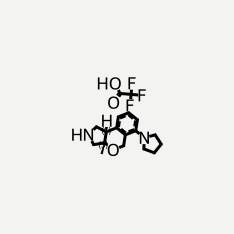 C[C@@]12CNC[C@@H]1c1cccc(N3CCCC3)c1CO2.O=C(O)C(F)(F)F